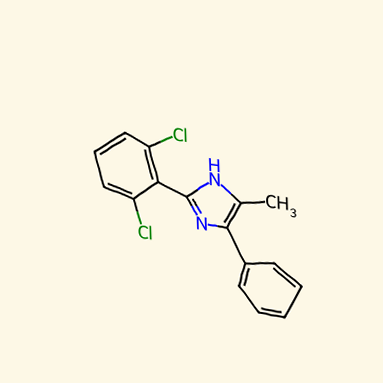 Cc1[nH]c(-c2c(Cl)cccc2Cl)nc1-c1ccccc1